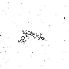 CNC(=O)C[C@H]1CCc2cc(N3C(=S)N(c4ccc(C#N)c(C(F)(F)F)c4)C(=O)C3(C)C)ccc2O1